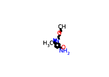 C#CCOCCCn1nc(C)c2ccc(C(N)=O)cc21